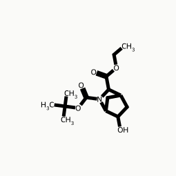 CCOC(=O)C1C2CC(O)C(C2)N1C(=O)OC(C)(C)C